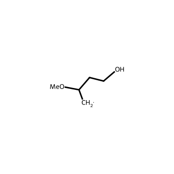 [CH2]C(CCO)OC